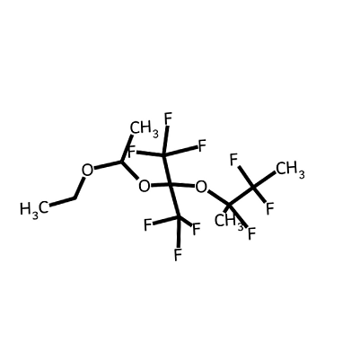 CCOC(C)OC(OC(C)(F)C(C)(F)F)(C(F)(F)F)C(F)(F)F